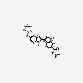 CC(C)NC(=O)c1ccc2c(-c3cc4cc(CN5CCOCC5)ccc4[nH]3)n[nH]c2c1